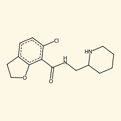 O=C(NCC1CCCCN1)c1c(Cl)ccc2c1OCC2